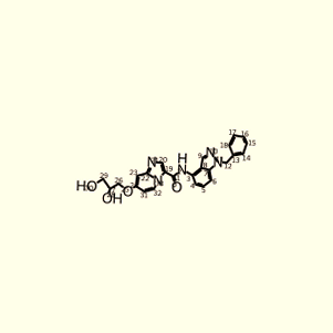 O=C(Nc1cccc2c1cnn2Cc1ccccc1)c1cnc2cc(OCC(O)CO)ccn12